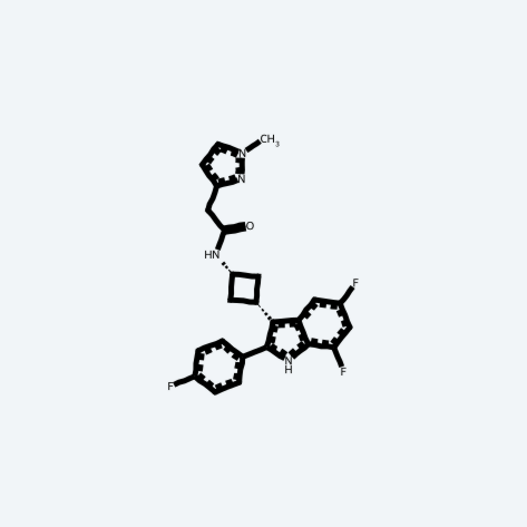 Cn1ccc(CC(=O)N[C@H]2C[C@@H](c3c(-c4ccc(F)cc4)[nH]c4c(F)cc(F)cc43)C2)n1